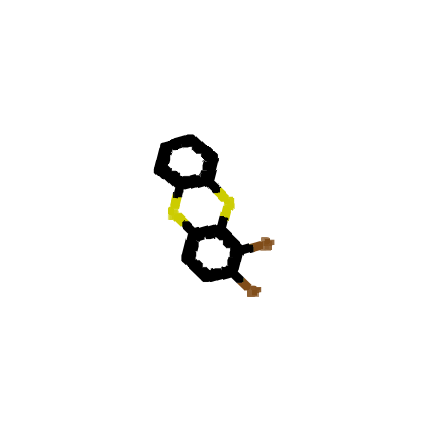 Brc1ccc2c(c1Br)Sc1ccccc1S2